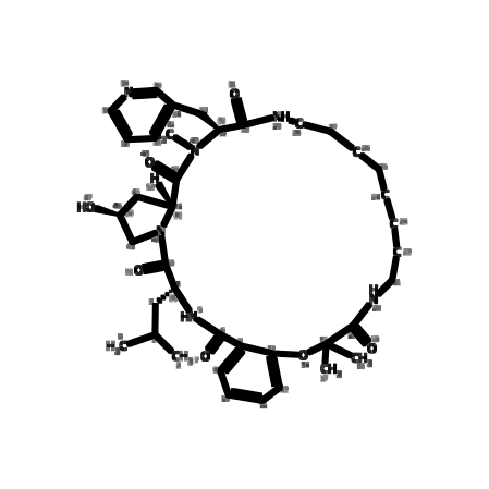 CC(C)C[C@H]1NC(=O)c2ccccc2OC(C)(C)C(=O)NCCCCCCCCNC(=O)[C@H](Cc2cccnc2)N(C)C(=O)[C@H]2C[C@H](O)CN2C1=O